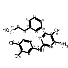 Nc1nc(Nc2ccc(Cl)c(Cl)c2)ncc1C(F)(F)F.O=C(O)CCc1ccccc1